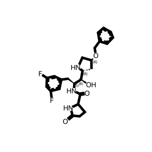 O=C1CCC(C(=O)N[C@@H](Cc2cc(F)cc(F)c2)[C@H](O)[C@H]2C[C@@H](OCc3ccccc3)CN2)N1